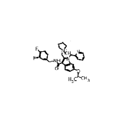 CC(C)Oc1ccc2c(C(=O)NCc3ccc(F)c(F)c3)c(C[N+]3(C)CCCC3)n(Cc3ccccn3)c2c1.[I-]